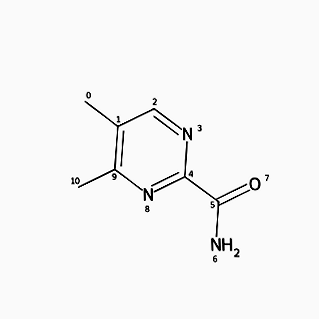 Cc1cnc(C(N)=O)nc1C